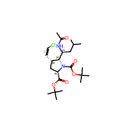 CC(=O)N[C@@H](CC(C)C)[C@H]1[C@@H](/C=C\Cl)C[C@H](C(=O)OC(C)(C)C)N1C(=O)OC(C)(C)C